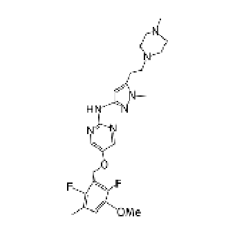 COc1cc(C)c(F)c(COc2cnc(Nc3cc(CCN4CCN(C)CC4)n(C)n3)nc2)c1F